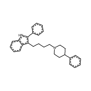 c1ccc(-c2[nH]c3ccccc3c2CCCCN2CCC(c3ccccc3)CC2)cc1